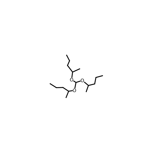 CCCC(C)OC(OC(C)CCC)OC(C)CCC